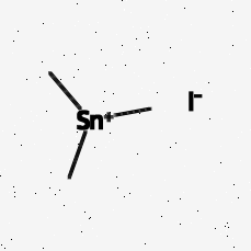 [CH3][Sn+]([CH3])[CH3].[I-]